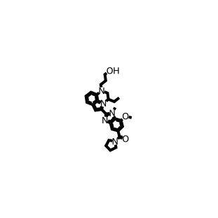 CCC1CN(CCCO)c2cccc3cc(-c4nc5cc(C(=O)N6CCCC6)cc(OC)c5n4C)n1c23